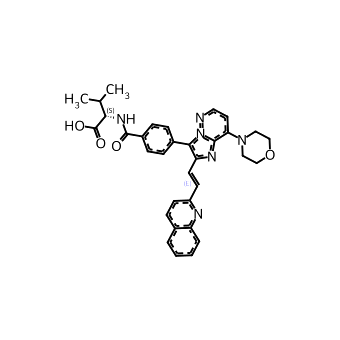 CC(C)[C@H](NC(=O)c1ccc(-c2c(/C=C/c3ccc4ccccc4n3)nc3c(N4CCOCC4)ccnn23)cc1)C(=O)O